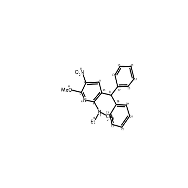 [CH2]CN(C)c1nc(OC)c([N+](=O)[O-])cc1C(c1ccccc1)c1ccccc1